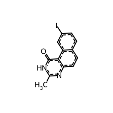 Cc1nc2ccc3ccc(I)cc3c2c(=O)[nH]1